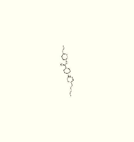 CCCCCC1CCN([C@H]2CC[C@H](C(=O)OC3CCC(CCC)CC3)CC2)CC1